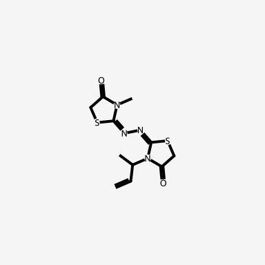 C=CC(C)N1C(=O)CS/C1=N/N=C1/SCC(=O)N1C